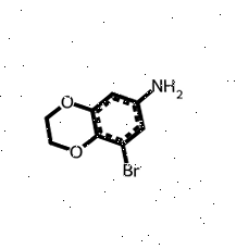 Nc1cc(Br)c2c(c1)OCCO2